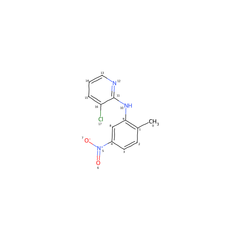 Cc1ccc([N+](=O)[O-])cc1Nc1ncccc1Cl